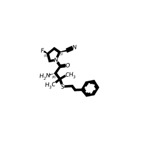 CC(C)(SCCc1ccccc1)[C@H](N)C(=O)N1C[C@@H](F)C[C@H]1C#N